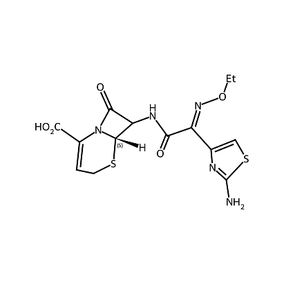 CCON=C(C(=O)NC1C(=O)N2C(C(=O)O)=CCS[C@@H]12)c1csc(N)n1